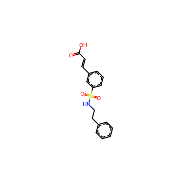 O=C(O)/C=C/c1cccc(S(=O)(=O)NCCc2ccccc2)c1